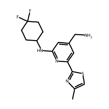 Cc1csc(-c2cc(CN)cc(NC3CCC(F)(F)CC3)n2)n1